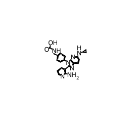 Nc1ncccc1-c1nc2ccc(NC3CC3)nc2n1-c1ccc(CNC(=O)O)cc1